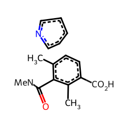 CNC(=O)c1c(C)ccc(C(=O)O)c1C.c1ccncc1